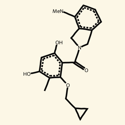 CNc1cccc2c1CN(C(=O)c1c(O)cc(O)c(C)c1OCC1CC1)C2